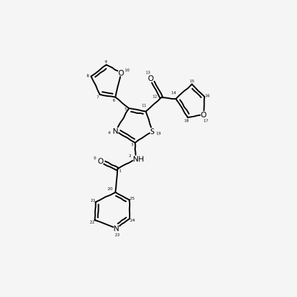 O=C(Nc1nc(-c2ccco2)c(C(=O)c2ccoc2)s1)c1ccncc1